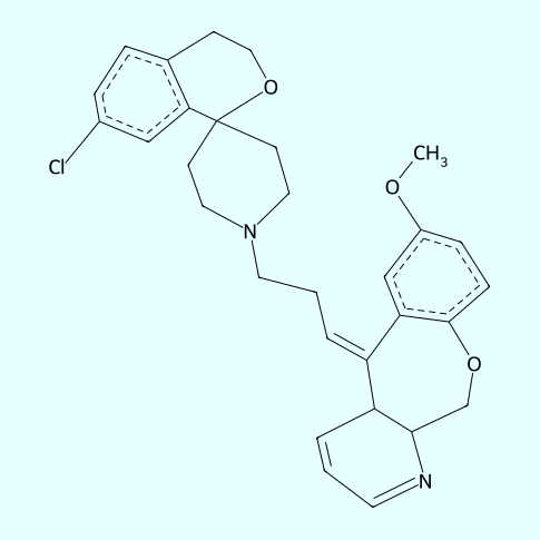 COc1ccc2c(c1)C(=CCCN1CCC3(CC1)OCCc1ccc(Cl)cc13)C1C=CC=NC1CO2